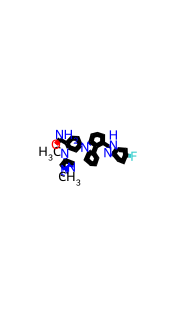 CN(c1cnn(C)c1)c1cc(-n2c3ccccc3c3c(-c4nc5ccc(F)cc5[nH]4)cccc32)ccc1C(N)=O